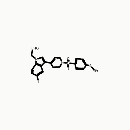 CC(C)Sc1ccc(S(=O)(=O)N2CC=C(c3cn(CC=O)c4ccc(I)cc34)CC2)cc1